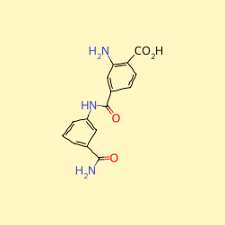 NC(=O)c1cccc(NC(=O)c2ccc(C(=O)O)c(N)c2)c1